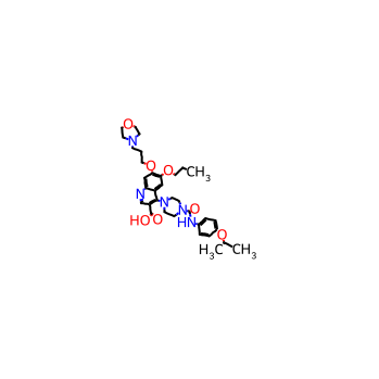 CCCOc1cc2c(N3CCN(C(=O)Nc4ccc(OC(C)C)cc4)CC3)c(C(=O)O)cnc2cc1OCCCN1CCOCC1